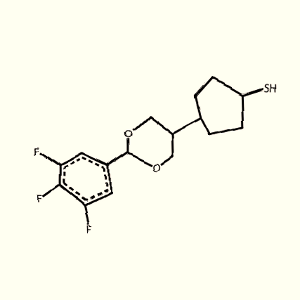 Fc1cc(C2OCC(C3CCC(S)CC3)CO2)cc(F)c1F